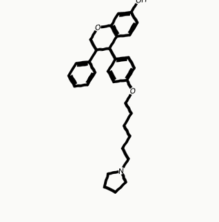 Oc1ccc2c(c1)OCC(c1ccccc1)C2c1ccc(OCCCCCCN2CCCC2)cc1